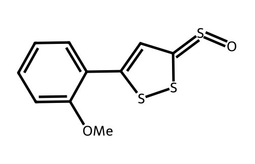 COc1ccccc1-c1cc(=S=O)ss1